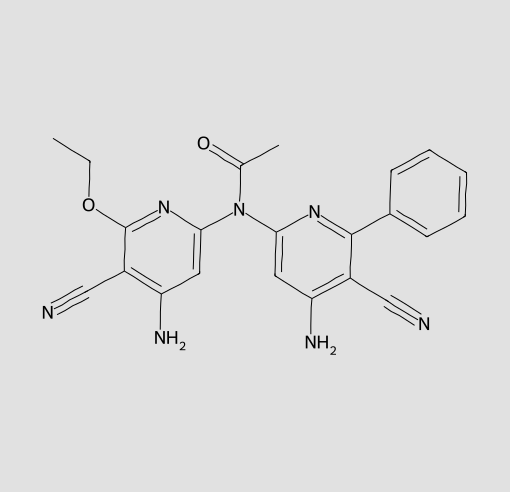 CCOc1nc(N(C(C)=O)c2cc(N)c(C#N)c(-c3ccccc3)n2)cc(N)c1C#N